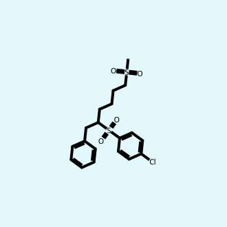 CS(=O)(=O)CCCCC(Cc1ccccc1)S(=O)(=O)c1ccc(Cl)cc1